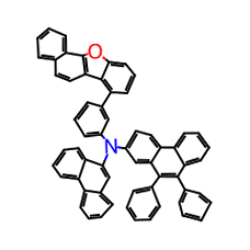 c1ccc(-c2c(-c3ccccc3)c3cc(N(c4cccc(-c5cccc6oc7c8ccccc8ccc7c56)c4)c4cc5ccccc5c5ccccc45)ccc3c3ccccc23)cc1